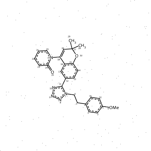 COc1ccc(CCn2nnnc2-c2ccc3c(c2)C(n2ccccc2=O)=CC(C)(C)O3)cc1